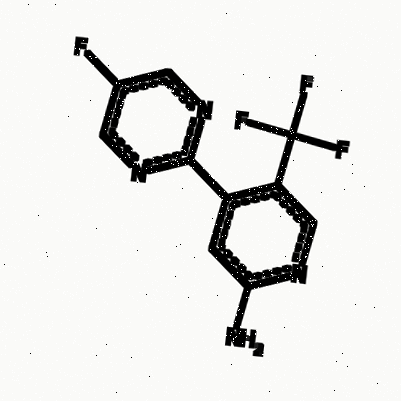 Nc1cc(-c2ncc(F)cn2)c(C(F)(F)F)cn1